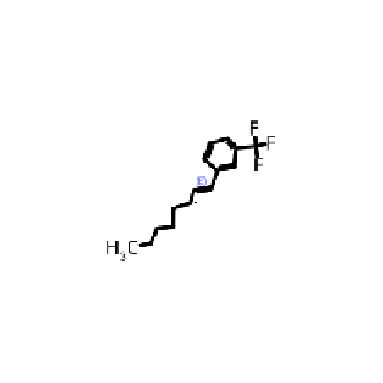 CCCCC[CH]/C=C/c1cccc(C(F)(F)F)c1